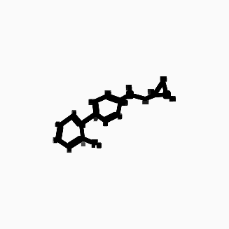 Fc1ccccc1-c1ccc(OCC2CO2)cc1